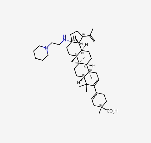 C=C(C)[C@@H]1CC[C@]2(NCCN3CCCCC3)CC[C@]3(C)[C@H](CC[C@@H]4[C@@]5(C)CC=C(C6=CC[C@](C)(C(=O)O)CC6)C(C)(C)[C@@H]5CC[C@]43C)[C@@H]12